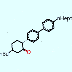 CCCCCCCc1ccc(-c2ccc([C@H]3CC[C@H](CCCC)CC3=O)cc2)cc1